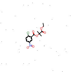 CCOC(=O)C(C)(C)OC(=O)c1cc([N+](=O)[O-])ccc1Cl